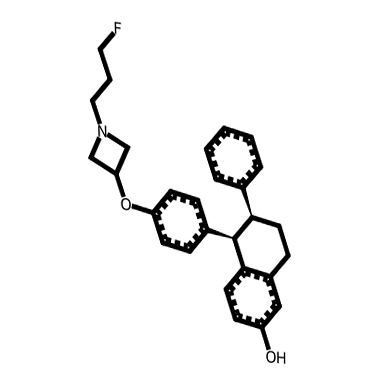 Oc1ccc2c(c1)CC[C@H](c1ccccc1)[C@@H]2c1ccc(OC2CN(CCCF)C2)cc1